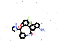 C[C@H]1Cc2c(cc3c(c2F)-c2c(Cl)c(F)cc4c2C[C@]([C@@H]2CCCN2)(O4)c2cccc(c2)NC3=O)[C@@H]1N